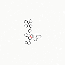 CC1(C)c2ccccc2-c2cccc(-c3ccc(N(c4ccc(-c5ccc6c(c5)C(c5ccccc5)(c5ccccc5)c5ccccc5-6)cc4)c4ccccc4-c4cccc(-c5cccc6ccccc56)c4)cc3)c21